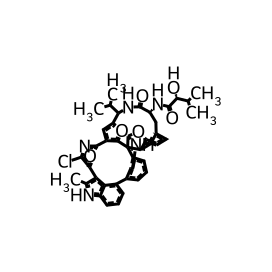 Cc1[nH]c2cccc3c2c1-c1oc(nc1Cl)-c1cc2oc1C14c5cc(ccc5OC1Nc1c-3cccc14)C[C@H](NC(=O)[C@@H](O)C(C)C)C(=O)NC2C(C)C